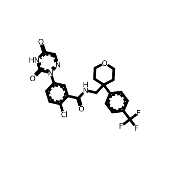 O=C(NCC1(c2ccc(C(F)(F)F)cc2)CCOCC1)c1cc(-n2ncc(=O)[nH]c2=O)ccc1Cl